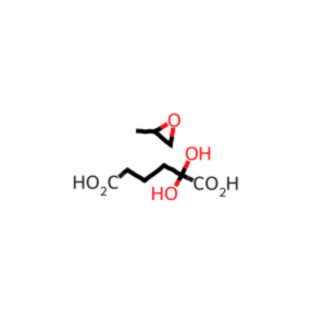 CC1CO1.O=C(O)CCCC(O)(O)C(=O)O